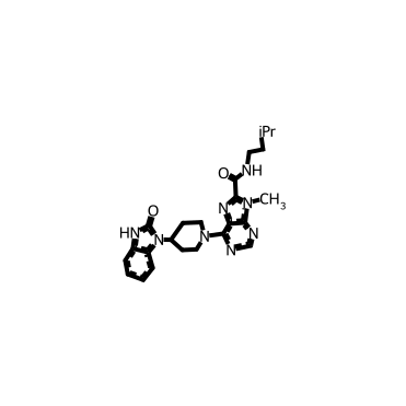 CC(C)CCNC(=O)c1nc2c(N3CCC(n4c(=O)[nH]c5ccccc54)CC3)ncnc2n1C